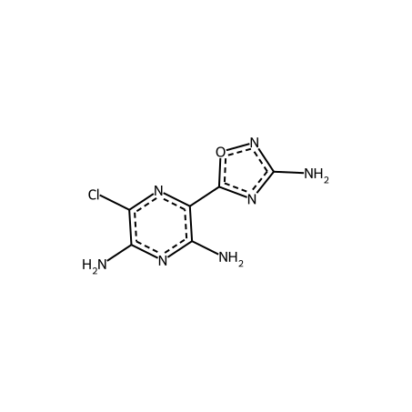 Nc1noc(-c2nc(Cl)c(N)nc2N)n1